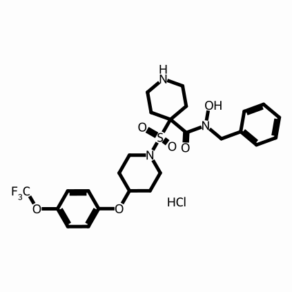 Cl.O=C(N(O)Cc1ccccc1)C1(S(=O)(=O)N2CCC(Oc3ccc(OC(F)(F)F)cc3)CC2)CCNCC1